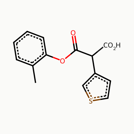 Cc1ccccc1OC(=O)C(C(=O)O)c1ccsc1